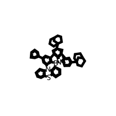 c1ccc(-c2cc3c4c(c2)N2c5ccccc5Sc5cccc(c52)B4n2c4ccc(C56CCCC(CCC5)C6)cc4c4cc(C56CCCC(CCC5)C6)cc-3c42)cc1